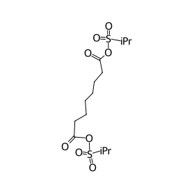 CC(C)S(=O)(=O)OC(=O)CCCCCCC(=O)OS(=O)(=O)C(C)C